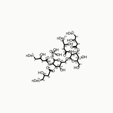 CCCCCCCCCCCC(O)CC(=O)NC1C(OP(=O)(O)O)OC(CO[C@@H]2OC(CO)[C@@H](O)[C@H](OC(=O)CC(O)CCCCCCCCCCC)C2NC(=O)CC(O)CCCCCCCCCCC)[C@@H](O)[C@@H]1OC(=O)CC(O)CCCCCCCCCCC